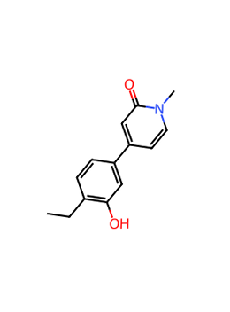 CCc1ccc(-c2ccn(C)c(=O)c2)cc1O